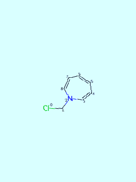 ClCN1C=CC=CC=C1